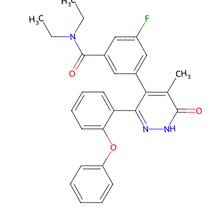 CCN(CC)C(=O)c1cc(F)cc(-c2c(-c3ccccc3Oc3ccccc3)n[nH]c(=O)c2C)c1